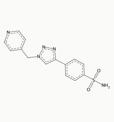 NS(=O)(=O)c1ccc(-c2cn(Cc3ccncc3)nn2)cc1